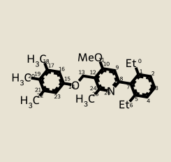 CCc1cccc(CC)c1-c1cc(OC)c(COc2cc(C)c(C)c(C)c2)c(C)n1